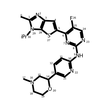 Cc1nc2cc(-c3nc(Nc4ccc(C5CN(C)CCO5)cn4)ncc3F)sc2n1C(C)C